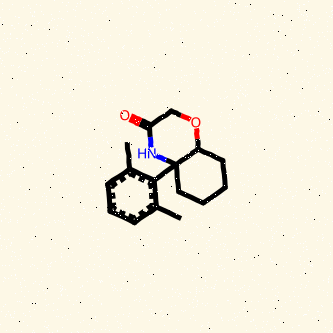 Cc1cccc(C)c1C12CCCCC1OCC(=O)N2